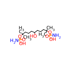 CC(C)(CCCC(O)CCCC(C)(C)OP(N)(=O)O)OP(N)(=O)O